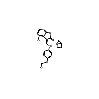 C1CN2CC12.CCOc1ccc(NC=C2C(=O)Nc3cccc(C)c32)cc1